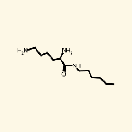 CCCCCCNC(=O)C(N)CCCCN